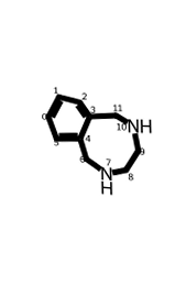 c1ccc2c(c1)CNCCNC2